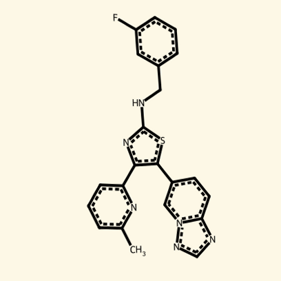 Cc1cccc(-c2nc(NCc3cccc(F)c3)sc2-c2ccc3ncnn3c2)n1